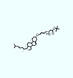 CC(C)CCC[C@@H](C)[C@H]1CCC2C3CC=C4C[C@@H](OC/C=C/CC(O)CC(=O)OC(C)(C)C)CC[C@]4(C)C3CC[C@@]21C